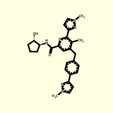 Cc1c(Cc2ccc(-c3ccn(C)n3)cc2)cc(C(=O)N[C@H]2CCC[C@@H]2O)nc1-c1ccn(C)n1